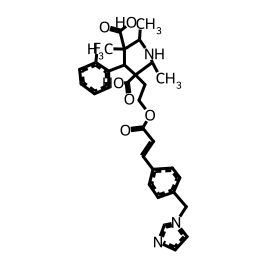 CC1NC(C)C(CCOC(=O)C=Cc2ccc(Cn3ccnc3)cc2)(C(=O)O)C(c2ccccc2F)C1(C)C(=O)O